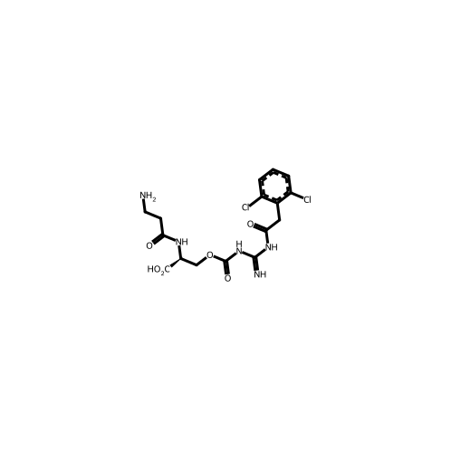 N=C(NC(=O)Cc1c(Cl)cccc1Cl)NC(=O)OC[C@H](NC(=O)CCN)C(=O)O